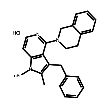 CCCn1c(C)c(Cc2ccccc2)c2c(N3CCc4ccccc4C3)nccc21.Cl